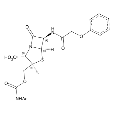 CC(=O)NC(=O)OC[C@]1(C)S[C@@H]2[C@H](NC(=O)COc3ccccc3)C(=O)N2[C@H]1C(=O)O